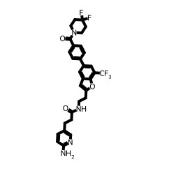 Nc1ccc(CCC(=O)NCCc2cc3cc(-c4ccc(C(=O)N5CCC(F)(F)CC5)cc4)cc(C(F)(F)F)c3o2)cn1